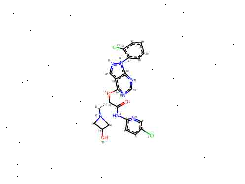 O=C(Nc1ccc(Cl)cn1)[C@H](CN1CC(O)C1)Oc1ncnc2c1cnn2-c1ccccc1Cl